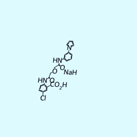 O=C(COCC(=O)Nc1ccc(Cl)cc1C(=O)O)Nc1cccc(-n2cccc2)c1.[NaH]